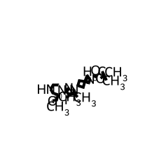 COC[C@@]1(C)CNCCN1c1nn(C2CC3(C2)CN(C(=O)OC(C)(C)C)C3)c(C)c1I